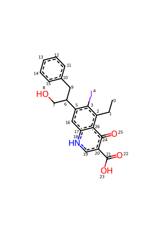 CCc1c(I)c(C(CO)Cc2ccccc2)cc2[nH]cc(C(=O)O)c(=O)c12